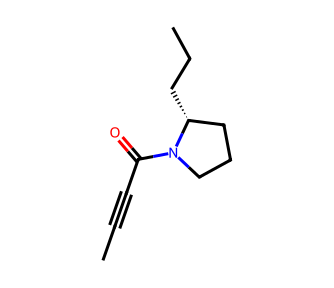 CC#CC(=O)N1CCC[C@H]1CCC